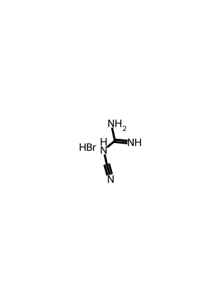 Br.N#CNC(=N)N